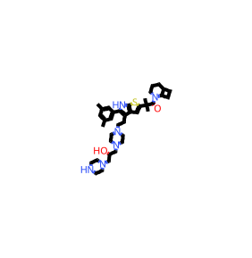 Cc1cc(C)cc(-c2[nH]c3sc(C(C)(C)C(=O)N4CCCC5CCC54)cc3c2CCN2CCN(CC(O)CN3CCNCC3)CC2)c1